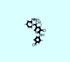 C=C(c1cnc(Nc2ccc(Cl)cc2)c(Cl)c1)N1CCCC/C1=N/N